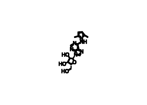 Cc1ccc(C)n1Nc1ncnc2c1ncn2[C@@H]1O[C@H](CO)[C@@H](O)[C@H]1O